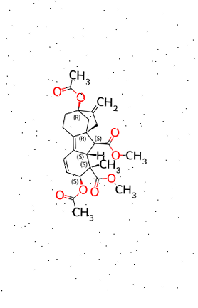 C=C1C[C@]23C[C@]1(OC(C)=O)CCC2=C1C=C[C@H](OC(C)=O)[C@@](C)(C(=O)OC)[C@H]1[C@@H]3C(=O)OC